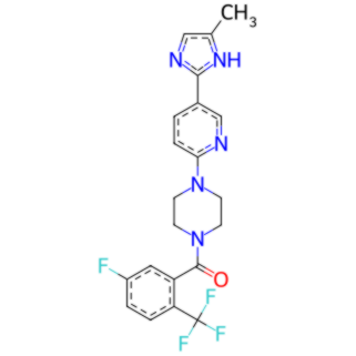 Cc1cnc(-c2ccc(N3CCN(C(=O)c4cc(F)ccc4C(F)(F)F)CC3)nc2)[nH]1